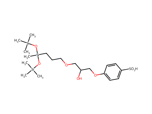 C[Si](C)(C)O[Si](C)(CCCOCC(O)COc1ccc(S(=O)(=O)O)cc1)O[Si](C)(C)C